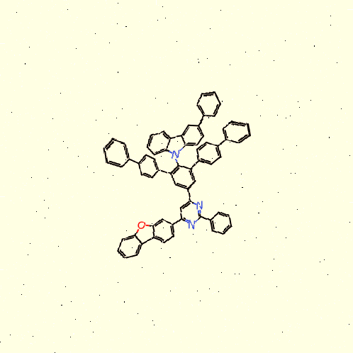 c1ccc(-c2ccc(-c3cc(-c4cc(-c5ccc6c(c5)oc5ccccc56)nc(-c5ccccc5)n4)cc(-c4ccc(-c5ccccc5)cc4)c3-n3c4ccccc4c4cc(-c5ccccc5)ccc43)cc2)cc1